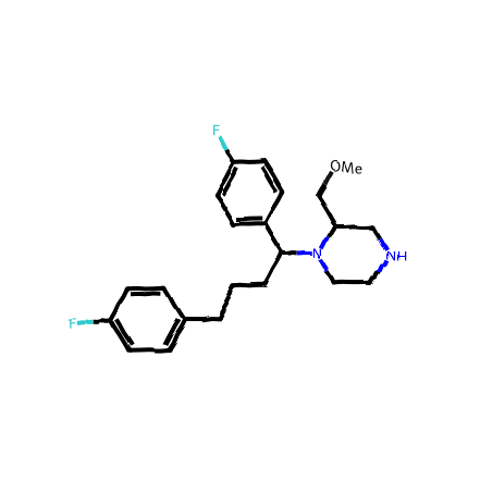 COCC1CNCCN1C(CCCc1ccc(F)cc1)c1ccc(F)cc1